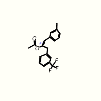 CC(=O)O/C(=C/c1cccc(C)c1)Cc1cccc(C(F)(F)F)c1